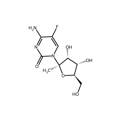 C[C@@]1(n2cc(F)c(N)nc2=O)O[C@H](CO)[C@@H](O)[C@H]1O